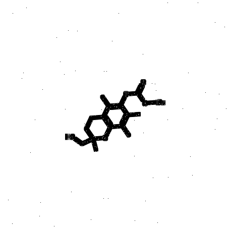 Cc1c(C)c2c(c(C)c1OC(=O)OC(C)(C)C)CCC(C)(CO)O2